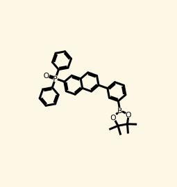 CC1(C)OB(c2cccc(-c3ccc4cc(P(=O)(c5ccccc5)c5ccccc5)ccc4c3)c2)OC1(C)C